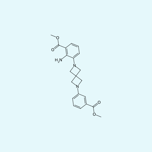 COC(=O)c1cccc(N2CC3(C2)CN(c2cccc(C(=O)OC)c2N)C3)c1